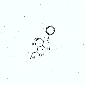 O=C[C@H](Oc1ccccc1)[C@@H](O)[C@@H](O)[C@H](O)CO